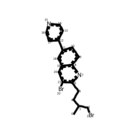 CC(CBr)CCc1nc2ccc(-c3ccncc3)cc2cc1Br